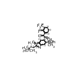 Cn1c(CCC(C)(C)O)nc2cc(C(C)(C)O)c(NC(=O)c3cccc(C(F)(F)F)c3F)cc21